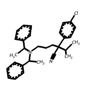 CC(c1ccccc1)N(CCCC(C#N)(c1ccc(Cl)cc1)C(C)C)C(C)c1ccccc1